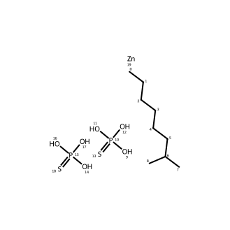 CCCCCCC(C)C.OP(O)(O)=S.OP(O)(O)=S.[Zn]